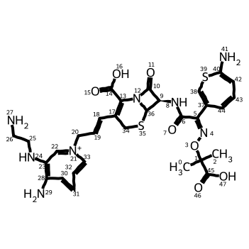 CC(C)(O/N=C(\C(=O)N[C@@H]1C(=O)N2C(C(=O)O)=C(/C=C/C[N+]3=C/C(NCCN)=C(N)\C=C\C=C\3)CSC12)C1=CSC(N)=CC=C1)C(=O)O